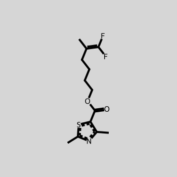 CC(CCCCOC(=O)c1sc(C)nc1C)=C(F)F